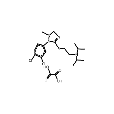 CC(C)N(CCSC1=NCN(C)N1c1ccc(Cl)c(Cl)c1)C(C)C.O=C(O)C(=O)O